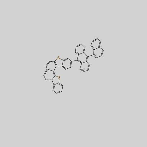 c1ccc2c(-c3c4ccccc4c(-c4ccc5c(c4)sc4ccc6ccc7c8ccccc8sc7c6c45)c4ccccc34)cccc2c1